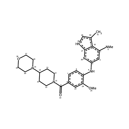 CNc1cc(Nc2ccc(C(=O)N3CCC(N4CCOCC4)CC3)cc2OC)nc2[nH]cc(C)c12